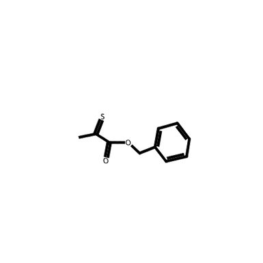 CC(=S)C(=O)OCc1ccccc1